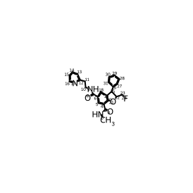 CNC(=O)c1cc(C(=O)NCCc2ccccn2)cc2c1OC(CF)C2c1ccccc1